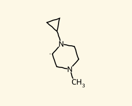 CN1C[CH]N(C2CC2)CC1